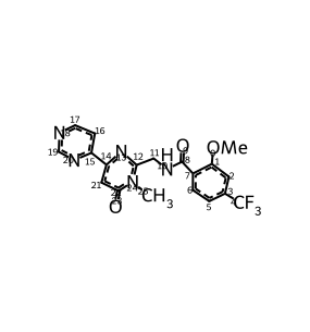 COc1cc(C(F)(F)F)ccc1C(=O)NCc1nc(-c2ccncn2)cc(=O)n1C